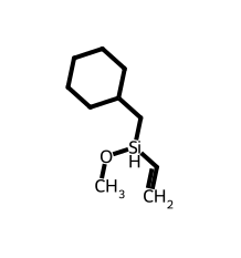 C=C[SiH](CC1CCCCC1)OC